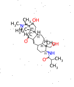 CC(C)C(=O)N[C@H]1CCC2C=C3C(=O)C[C@]4(C)[C@@H]([C@H](C)N(C)C)[C@H](O)C[C@@]4(C)[C@@H]3CC[C@H]2[C@]1(C)CO